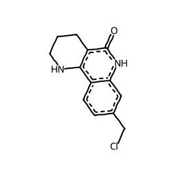 O=c1[nH]c2cc(CCl)ccc2c2c1CCCN2